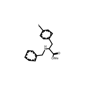 COC(=O)C(Cc1ccc(I)cc1)NCc1ccccc1